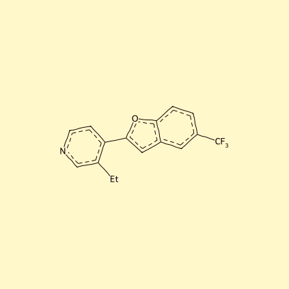 CCc1cnccc1-c1cc2cc(C(F)(F)F)ccc2o1